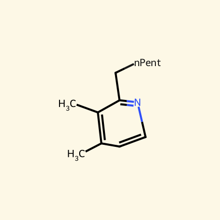 [CH2]CCCCCc1nccc(C)c1C